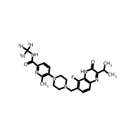 [2H]C([2H])([2H])NC(=O)c1ccc(N2CCN(Cc3ccc4nc(C(C)C)c(=O)[nH]c4c3F)CC2)c(C)n1